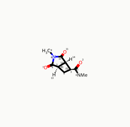 CNC(=O)[C@H]1C[C@H]2C(=O)N(C)C(=O)[C@@H]12